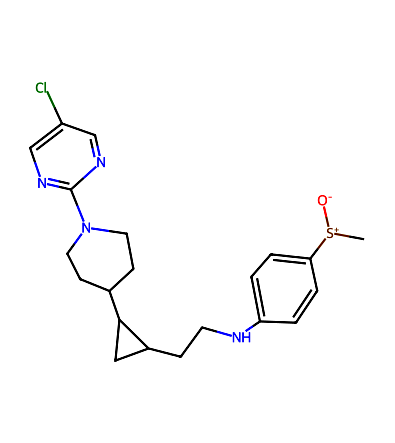 C[S+]([O-])c1ccc(NCCC2CC2C2CCN(c3ncc(Cl)cn3)CC2)cc1